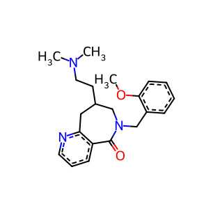 COc1ccccc1CN1CC(CCN(C)C)Cc2ncccc2C1=O